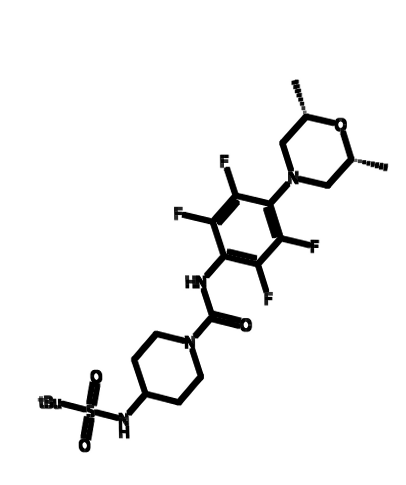 C[C@@H]1CN(c2c(F)c(F)c(NC(=O)N3CCC(NS(=O)(=O)C(C)(C)C)CC3)c(F)c2F)C[C@H](C)O1